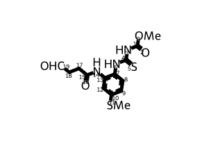 COC(=O)NC(=S)Nc1ccc(SC)cc1NC(=O)CCC=O